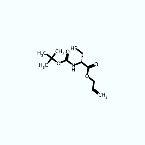 C=CCOC(=O)[C@@H](CS)NC(=O)OC(C)(C)C